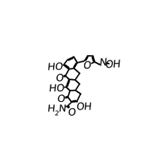 NC(=O)C1=C(O)CC2CC3Cc4c(-c5ccc(/C=N/O)o5)ccc(O)c4C(=O)C3=C(O)C2C1=O